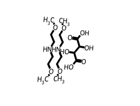 COCCNCCOC.COCCNCCOC.O=C(O)C(O)C(O)C(=O)O